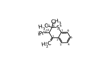 C=C1c2ccccc2SC(C)(C)C1C(C)C